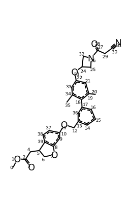 COC(=O)CC1COc2cc(OCc3cccc(-c4c(C)cc(OC5CN(C(=O)CC#N)C5)cc4C)c3)ccc21